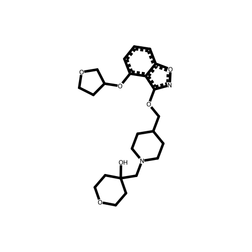 OC1(CN2CCC(COc3noc4cccc(OC5CCOC5)c34)CC2)CCOCC1